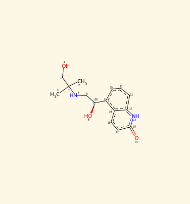 CC(C)(CO)NC[C@H](O)c1cccc2[nH]c(=O)ccc12